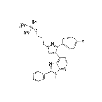 CC(C)[Si](OCCCn1cc(-c2ccnc3[nH]c(-c4ccccc4)nc23)c(-c2ccc(F)cc2)n1)(C(C)C)C(C)C